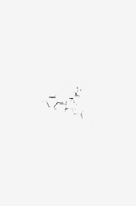 CC(C)CC(NC(=O)C(C)(C)N)C(=O)Nc1ccccc1